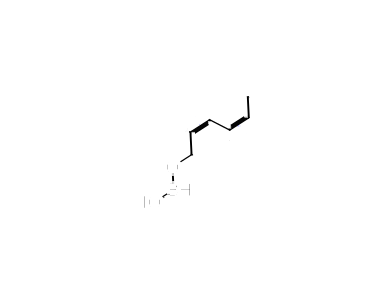 C/C=C\C=C/COBO